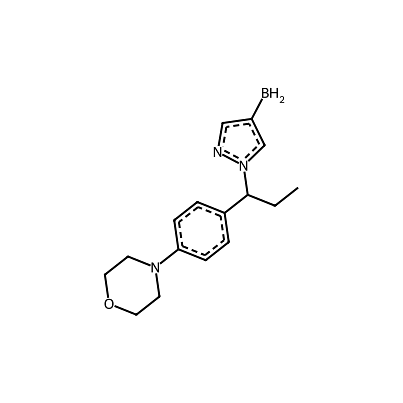 Bc1cnn(C(CC)c2ccc(N3CCOCC3)cc2)c1